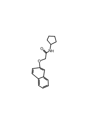 O=C(COc1ccc2ccccc2c1)NC1CCCC1